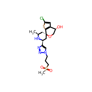 C[C@H]1C[C@@]2(C[C@@H](c3cn(CCCS(C)(=O)=O)nn3)N1)OC[C@@H](O)c1cc(Cl)sc12